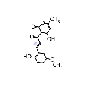 COc1ccc(O)c(/C=C/C(=O)c2c(O)cc(C)oc2=O)c1